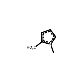 [CH2]n1cccc1C(=O)O